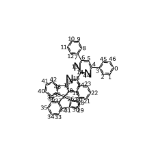 c1ccc(-c2cc(-c3ccccc3)nc(-c3nc4c(c5ccccc35)C3(c5ccccc5-c5ccccc53)c3ccccc3-4)n2)cc1